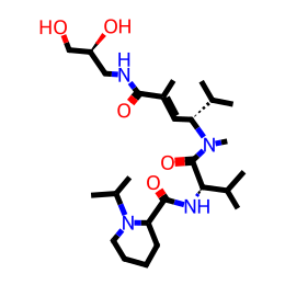 C/C(=C\[C@H](C(C)C)N(C)C(=O)[C@@H](NC(=O)C1CCCCN1C(C)C)C(C)C)C(=O)NC[C@H](O)CO